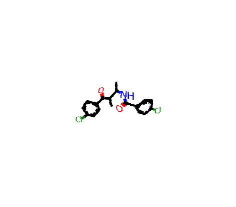 CC(NC(=O)c1ccc(Cl)cc1)C(C)C(=O)c1ccc(Cl)cc1